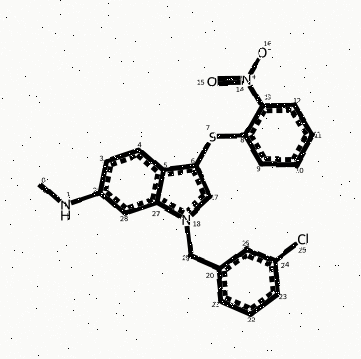 CNc1ccc2c(Sc3ccccc3[N+](=O)[O-])cn(Cc3cccc(Cl)c3)c2c1